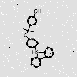 CC(C)(Oc1ccc([SH]2c3ccccc3-c3ccccc32)cc1)c1ccc(O)cc1